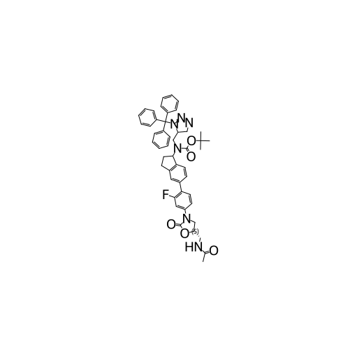 CC(=O)NC[C@H]1CN(c2ccc(-c3ccc4c(c3)CCC4N(CC3CN=NN3C(c3ccccc3)(c3ccccc3)c3ccccc3)C(=O)OC(C)(C)C)c(F)c2)C(=O)O1